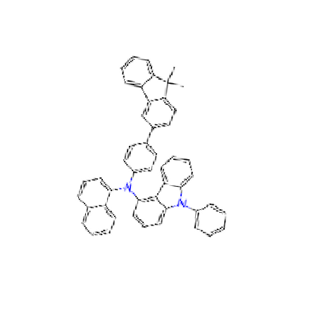 CC1(C)c2ccccc2-c2cc(-c3ccc(N(c4cccc5ccccc45)c4cccc5c4c4ccccc4n5-c4ccccc4)cc3)ccc21